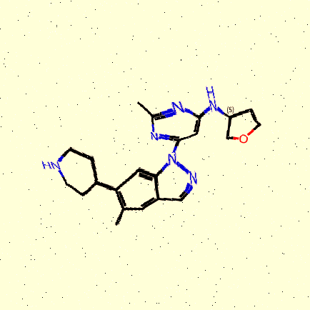 Cc1nc(N[C@H]2CCOC2)cc(-n2ncc3cc(C)c(C4CCNCC4)cc32)n1